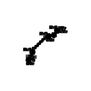 COc1ccc2c(c1)C(=O)NC(c1ccc(OCCCCCCCCCOc3c(OC)cc(C4CC(c5cc(OC)c(OC)c(OC)c5)=NO4)cc3OC)c(OC)c1)N2